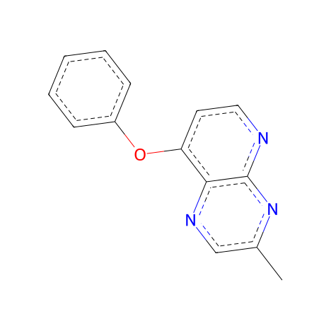 Cc1cnc2c(Oc3ccccc3)ccnc2n1